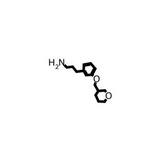 NCCCc1cccc(OCC2CCCOC2)c1